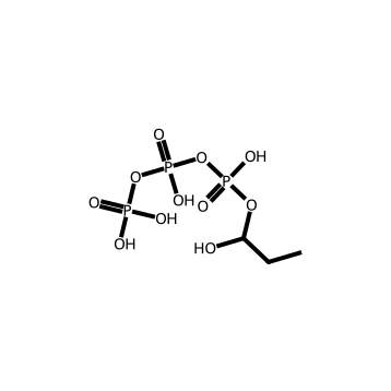 CCC(O)OP(=O)(O)OP(=O)(O)OP(=O)(O)O